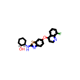 O[C@@H]1CCCC[C@H]1Nc1nc2ccc(Oc3ccnc4c(F)cccc34)cc2s1